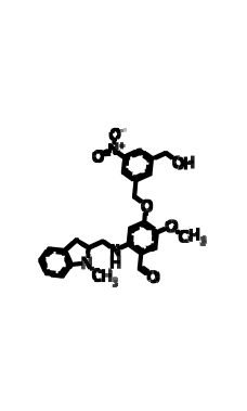 COc1cc(C=O)c(NCC2Cc3ccccc3N2C)cc1OCc1cc(CO)cc([N+](=O)[O-])c1